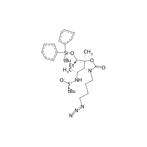 CC[C@@H](O[Si](c1ccccc1)(c1ccccc1)C(C)(C)C)[C@@]1(C)OC(=O)N(CCCCN=[N+]=[N-])[C@@H]1[C@@H](C)N[S@+]([O-])C(C)(C)C